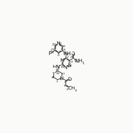 C=CC(=O)N1CCC[C@@H](Nc2nnc(C(N)=O)c(Nc3cncc(F)c3)n2)C1